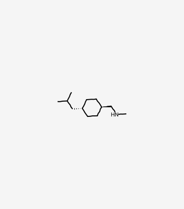 CNC[C@H]1CC[C@H](CC(C)C)CC1